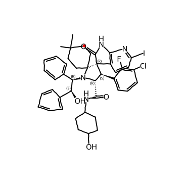 CC1(C)CCC2(CC1)N([C@H](c1ccccc1)[C@@H](O)c1ccccc1)[C@@H](C(=O)NC1CCC(O)CC1)[C@H](c1cccc(Cl)c1F)[C@]21C(=O)Nc2nc(I)ccc21